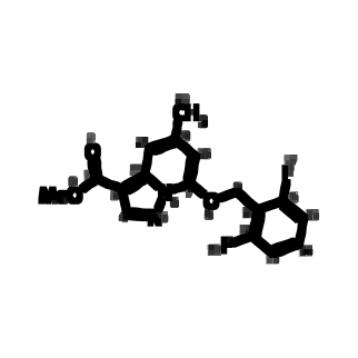 COC(=O)c1cnn2c(OCc3c(F)cccc3F)cc(C)cc12